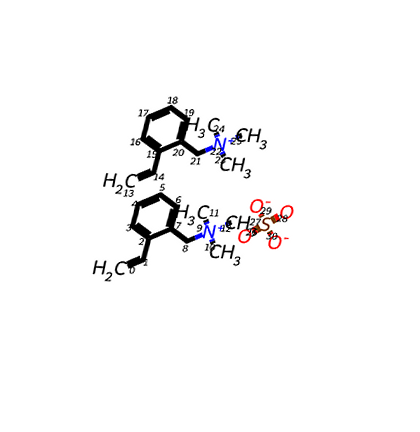 C=Cc1ccccc1C[N+](C)(C)C.C=Cc1ccccc1C[N+](C)(C)C.O=S(=O)([O-])[O-]